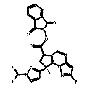 C[C@]1(c2ccn(C(F)F)n2)CC(C(=O)ON2C(=O)c3ccccc3C2=O)c2cnc3cc(F)nn3c21